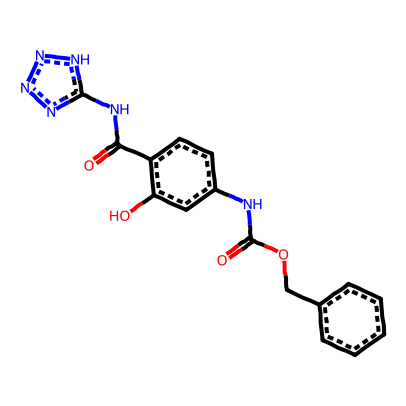 O=C(Nc1ccc(C(=O)Nc2nnn[nH]2)c(O)c1)OCc1ccccc1